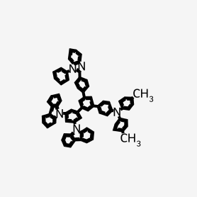 Cc1ccc(N(c2ccc(C)cc2)c2ccc(-c3cc(-c4ccc(-c5nc6ccccc6n5-c5ccccc5)cc4)cc(-c4cc(-n5c6ccccc6c6ccccc65)cc(-n5c6ccccc6c6ccccc65)c4)c3)cc2)cc1